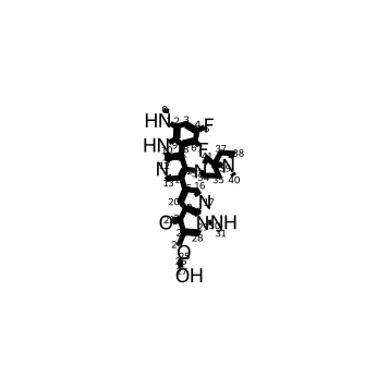 CNc1cc(F)c(F)c2c1[nH]c1ncc(-c3cnc4c(c3)c(=O)c(COCO)cn4NC)c(N3CCC4(CCN4C)C3)c12